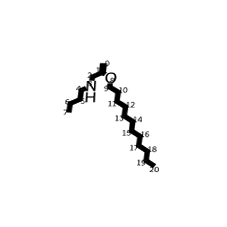 C=C(CNCCCC)OCCCCCCCCCCCC